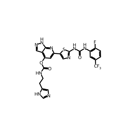 O=C(Nc1ncc(-c2cc(OC(=O)NCCc3cnc[nH]3)c3cn[nH]c3n2)s1)Nc1cc(C(F)(F)F)ccc1F